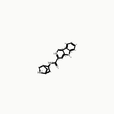 O=C(NC1CC2CC1CN2)c1cc2sc3ccccc3c2cn1